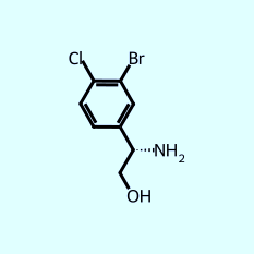 N[C@H](CO)c1ccc(Cl)c(Br)c1